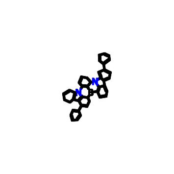 C1=Cc2c(c3c4n2C2=C5B(c6cccc7c8ccc(-c9ccccc9)cc8n(c67)C5CC=C2)C4CC=C3c2ccccc2)CC1